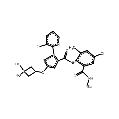 CCCCNC(=O)c1cc(Cl)cc(C)c1NC(=O)c1cc(OC2CS(O)(O)C2)nn1-c1ncccc1Cl